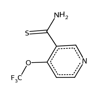 NC(=S)c1cnccc1OC(F)(F)F